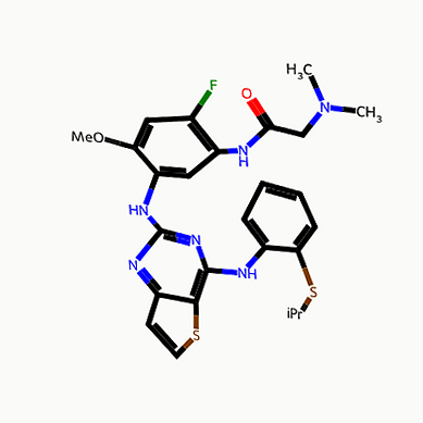 COc1cc(F)c(NC(=O)CN(C)C)cc1Nc1nc(Nc2ccccc2SC(C)C)c2sccc2n1